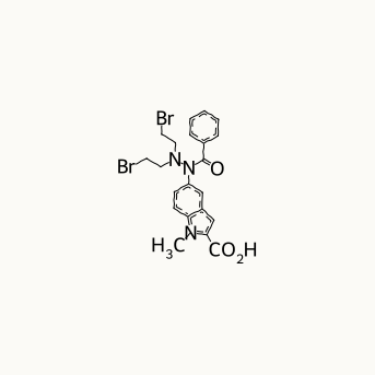 Cn1c(C(=O)O)cc2cc(N(C(=O)c3ccccc3)N(CCBr)CCBr)ccc21